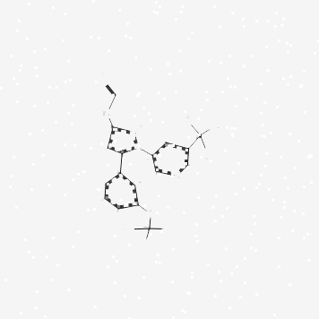 O=CNc1cc(-c2cccc(OC(F)(F)F)c2)n(-c2cncc(C(F)(F)F)c2)n1